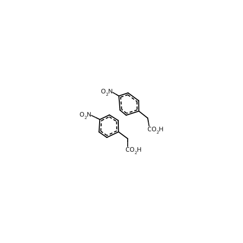 O=C(O)Cc1ccc([N+](=O)[O-])cc1.O=C(O)Cc1ccc([N+](=O)[O-])cc1